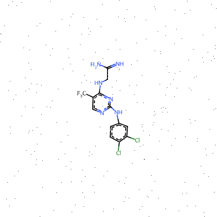 N=C(N)CNc1nc(Nc2ccc(Cl)c(Cl)c2)ncc1C(F)(F)F